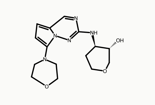 O[C@@H]1COCC[C@H]1Nc1ncc2ccc(N3CCOCC3)n2n1